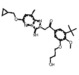 COc1c(OCCCO)cc(C(=O)Cn2nc3c(C)cc(OCC4CC4)nn3c2=N)cc1C(C)(C)C